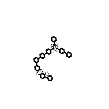 c1ccc(-c2ccc(-c3nc(-c4ccccc4)nc(-c4ccc(-c5ccc(-c6cccc(-c7ccc8nc9ccc%10c%11ccccc%11oc%10c9nc8c7)c6)cc5)cc4)n3)cc2)cc1